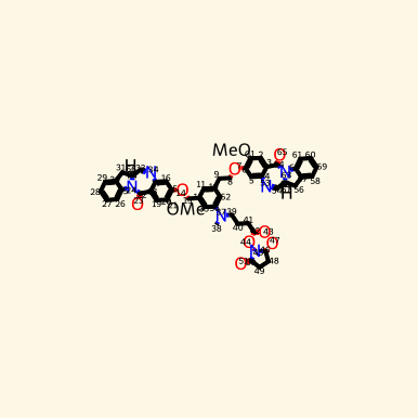 COc1cc2c(cc1OCCc1cc(COc3cc4c(cc3OC)C(=O)N3c5ccccc5C[C@H]3C=N4)cc(N(C)CCCC(=O)ON3C(=O)CCC3=O)c1)N=C[C@@H]1Cc3ccccc3N1C2=O